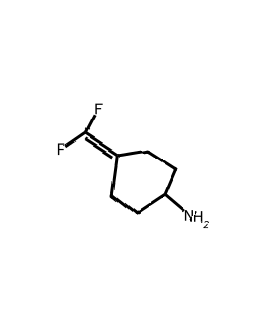 NC1CCC(=C(F)F)CC1